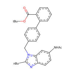 CCCCc1nc2ccc(NC(C)=O)cc2n1Cc1ccc(-c2ccccc2C(=O)OC(C)(C)C)cc1